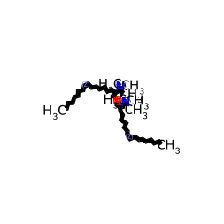 CCCCCCCC/C=C\CCCCCCC(COCC(CCCCCC/C=C\CCCCCCCC)C(C)N(C)C)C(C)N(C)C